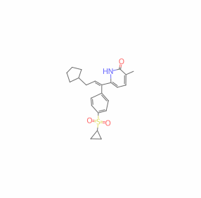 Cc1ccc(/C(=C/CC2CCCC2)c2ccc(S(=O)(=O)C3CC3)cc2)[nH]c1=O